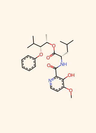 COc1ccnc(C(=O)N[C@@H](CC(C)C)C(=O)O[C@@H](C)[C@H](Oc2ccccc2)C(C)C)c1O